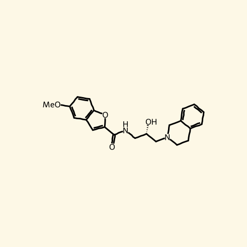 COc1ccc2oc(C(=O)NC[C@H](O)CN3CCc4ccccc4C3)cc2c1